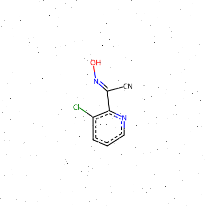 N#C/C(=N\O)c1ncccc1Cl